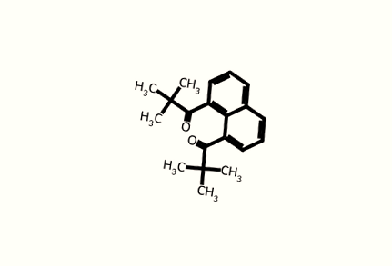 CC(C)(C)C(=O)c1cccc2cccc(C(=O)C(C)(C)C)c12